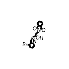 O=C1c2ccccc2C(=O)N1CCC(O)Cn1cc2c(Br)cccc2n1